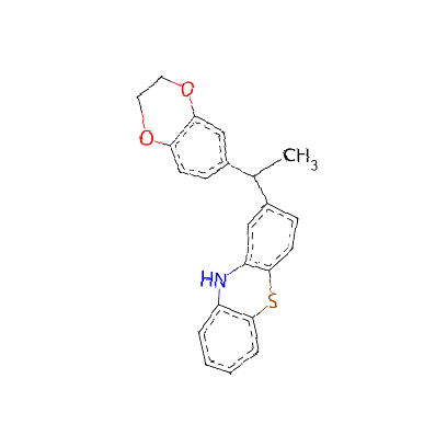 CC(c1ccc2c(c1)Nc1ccccc1S2)c1ccc2c(c1)OCCO2